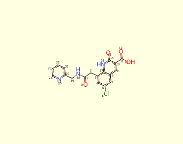 O=C(Cc1cc(Cl)cc2cc(C(=O)O)c(=O)[nH]c12)NCc1ccccn1